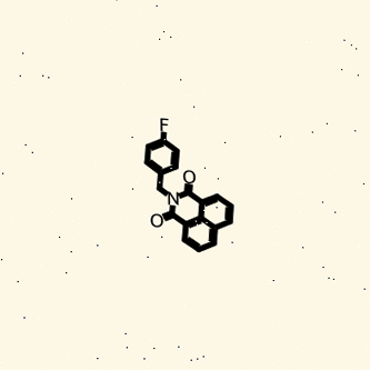 O=C1c2cccc3cccc(c23)C(=O)N1Cc1ccc(F)cc1